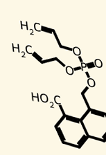 C=CCOP(=O)(OCC=C)OCc1cccc2cccc(C(=O)O)c12